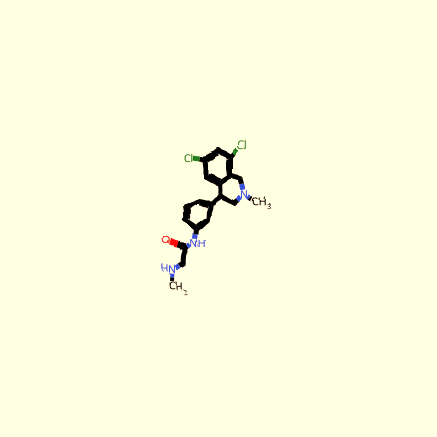 CNCC(=O)Nc1cccc(C2CN(C)Cc3c(Cl)cc(Cl)cc32)c1